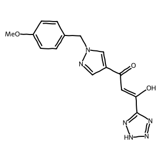 COc1ccc(Cn2cc(C(=O)C=C(O)c3nn[nH]n3)cn2)cc1